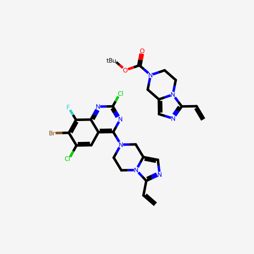 C=Cc1ncc2n1CCN(C(=O)OC(C)(C)C)C2.C=Cc1ncc2n1CCN(c1nc(Cl)nc3c(F)c(Br)c(Cl)cc13)C2